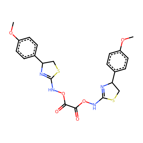 COc1ccc(C2CSC(NOC(=O)C(=O)ONC3=NC(c4ccc(OC)cc4)CS3)=N2)cc1